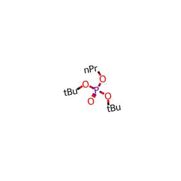 [CH2]CCOP(=O)(OC(C)(C)C)OC(C)(C)C